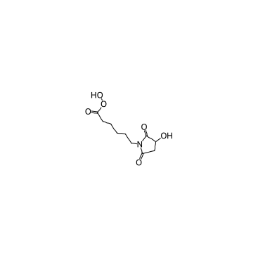 O=C(CCCCCN1C(=O)CC(O)C1=O)OO